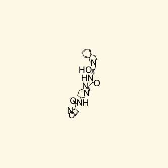 O=C(NC[C@H](O)CN1CCc2ccccc2C1)c1cn2c(n1)CCC(NC(=O)c1ccon1)C2